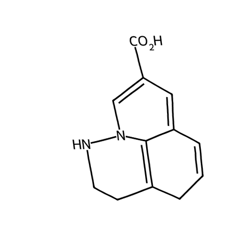 O=C(O)C1=CN2NCCC3=C2C(=C1)C=CC3